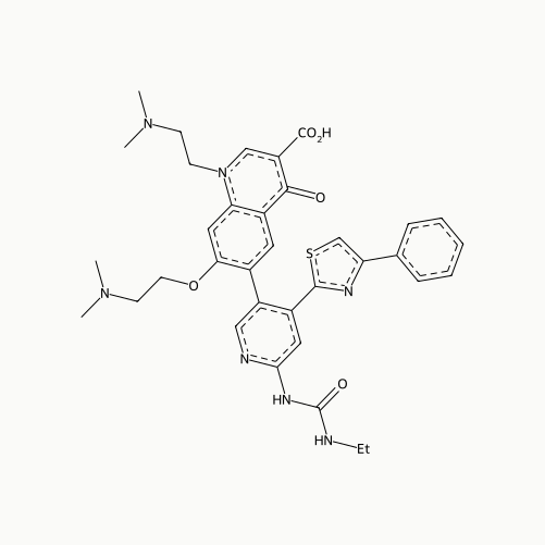 CCNC(=O)Nc1cc(-c2nc(-c3ccccc3)cs2)c(-c2cc3c(=O)c(C(=O)O)cn(CCN(C)C)c3cc2OCCN(C)C)cn1